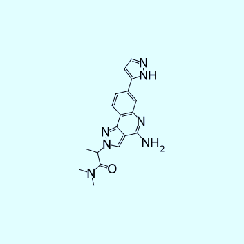 CC(C(=O)N(C)C)n1cc2c(N)nc3cc(-c4ccn[nH]4)ccc3c2n1